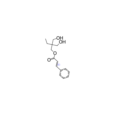 CCC(CO)(CO)COC(=O)/C=C/c1ccccc1